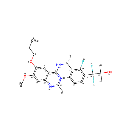 COCCOc1cc2c(N[C@H](C)c3cccc(C(F)(F)C(C)(C)O)c3F)nc(C)nc2cc1OC(C)C